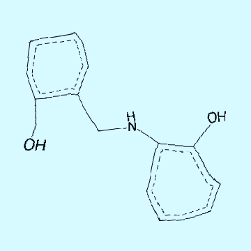 Oc1ccccc1CNc1ccccc1O